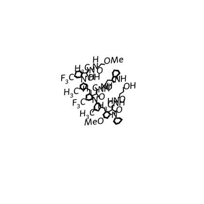 COCCC(=O)NN/C(C)=C1/c2ccc(C(F)(F)F)cc2N(c2cc(C)cc(Cc3cc(C(F)(F)F)cc4c3/C(=C(\C)NNC(=O)Cc3c[nH]c5ccccc35)C(=O)N4c3cc(C)cc(Cc4cc(OC)cc5c4/C(=C(\C)NNC(=O)CCCO)C(=O)N5c4ccccc4)c3)c2)C1O